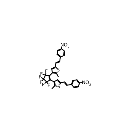 Cc1sc(C=Cc2ccc([N+](=O)[O-])cc2)cc1C1=C(c2cc(C=Cc3ccc([N+](=O)[O-])cc3)sc2C)C(F)(F)C(F)(F)C1(F)F